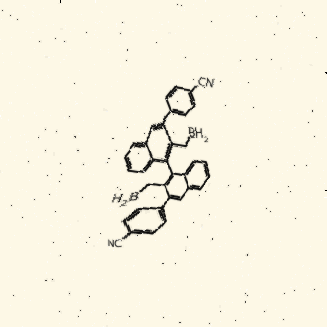 BCc1c(-c2ccc(C#N)cc2)cc2ccccc2c1-c1c(CB)c(-c2ccc(C#N)cc2)cc2ccccc12